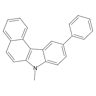 Cn1c2ccc(-c3ccccc3)cc2c2c3ccccc3ccc21